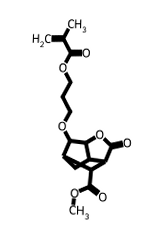 C=C(C)C(=O)OCCCOC1C2CC3C1OC(=O)C3C2C(=O)OC